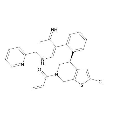 C=CC(=O)N1Cc2sc(Cl)cc2[C@H](c2ccccc2/C(=C/NCc2ccccn2)C(C)=N)C1